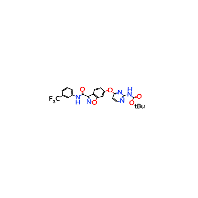 CC(C)(C)OC(=O)Nc1nccc(Oc2ccc3c(C(=O)Nc4cccc(C(F)(F)F)c4)noc3c2)n1